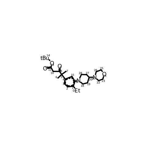 CCc1ccc(C(C)(C)C(=O)CC(=O)OC(C)(C)C)cc1N1CCC(N2CCOCC2)CC1